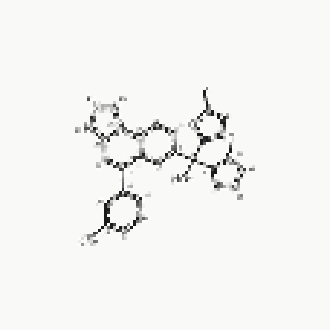 Cc1ccc(C(O)(c2ccc3c(c2)c(-c2cccc(Cl)c2)cc2nnnn23)c2cncn2C)o1